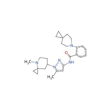 Cc1cc(NC(=O)c2ccccc2N2CCC3(CC2)CC3)nn1C1CCN(C)C2(CC2)C1